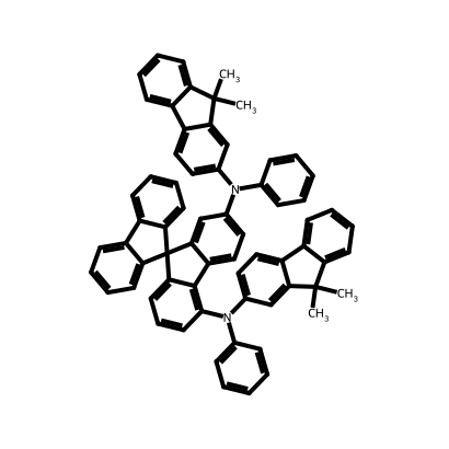 CC1(C)c2ccccc2-c2ccc(N(c3ccccc3)c3ccc4c(c3)C3(c5ccccc5-c5ccccc53)c3cccc(N(c5ccccc5)c5ccc6c(c5)C(C)(C)c5ccccc5-6)c3-4)cc21